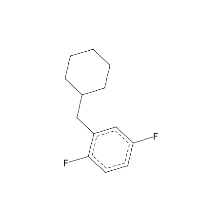 Fc1ccc(F)c(CC2CCCCC2)c1